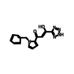 O=C(C=C(O)c1nn[nH]n1)c1cccn1Cc1ccccc1